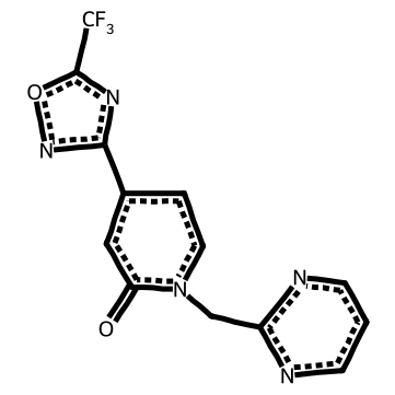 O=c1cc(-c2noc(C(F)(F)F)n2)ccn1Cc1ncccn1